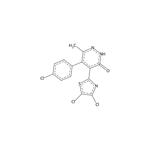 Cc1n[nH]c(=O)c(-c2nc(Cl)c(Cl)s2)c1-c1ccc(Cl)cc1